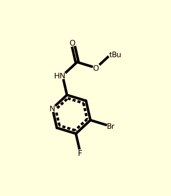 CC(C)(C)OC(=O)Nc1cc(Br)c(F)cn1